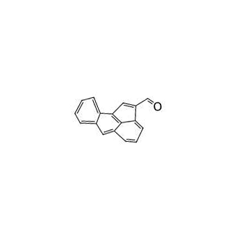 O=CC1=Cc2c3ccccc3cc3cccc1c23